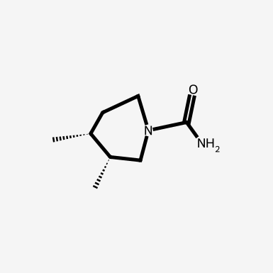 C[C@@H]1CCN(C(N)=O)C[C@@H]1C